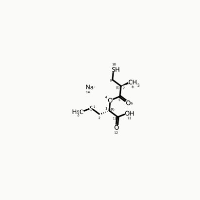 CSC[C@H](OC(=O)[C@H](C)CS)C(=O)O.[Na]